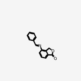 O=C1OCc2c(N=Cc3ccccc3)cccc21